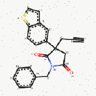 C#CCC1(c2ccc3sccc3c2)CC(=O)N(Cc2ccccc2)C1=O